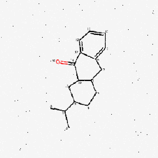 CC(C)C1CCC2Cc3ccccc3C(=O)C2C1